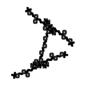 CC(C)(C)OCCOC(=O)CCc1cn(C(C)(C(=O)OCCOCCOCCOCCOC(=O)C(C)(n2cc(CCC(=O)OCCOC(C)(C)C)nn2)n2cc(CCC(=O)OCCOC(C)(C)C)nn2)n2cc(CCC(=O)OCCOC(C)(C)C)nn2)nn1